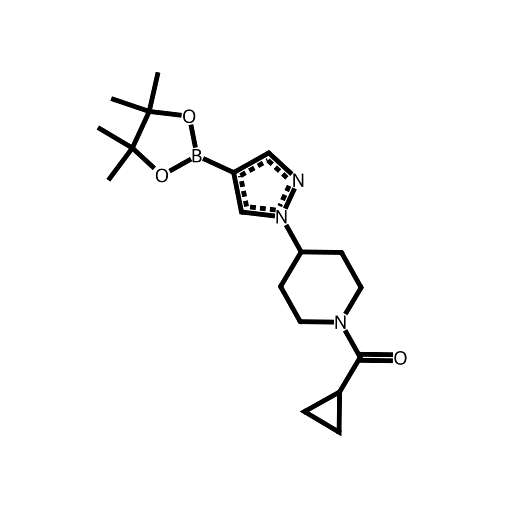 CC1(C)OB(c2cnn(C3CCN(C(=O)C4CC4)CC3)c2)OC1(C)C